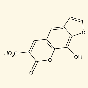 O=C(O)c1cc2cc3ccoc3c(O)c2oc1=O